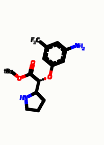 CC(C)(C)OC(=O)[C@H](Oc1cc(N)cc(C(F)(F)F)c1)C1CCCN1